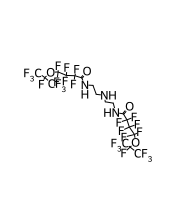 O=C(NCCNCCNC(=O)C(F)(F)C(F)(F)C(F)(F)OC(F)(C(F)(F)F)C(F)(F)F)C(F)(F)C(F)(F)C(F)(F)OC(F)(C(F)(F)F)C(F)(F)F